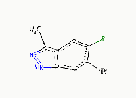 Cc1n[nH]c2cc(C(C)C)c(F)cc12